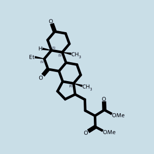 CC[C@@H]1C(=O)C2C3CCC(CCC(C(=O)OC)C(=O)OC)[C@@]3(C)CCC2[C@@]2(C)CCC(=O)C[C@@H]12